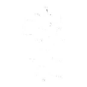 Cc1noc(C)c1C(=O)C(=O)CC(N)(C(=O)O)C1c2ccccc2N[C@@H]2CCC[C@H]12